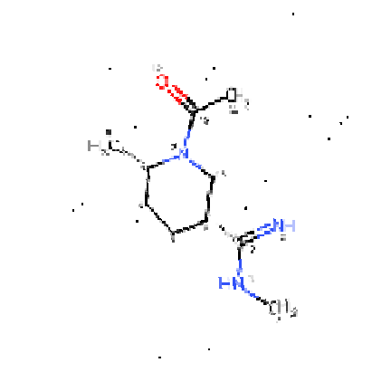 CNC(=N)[C@@H]1CC[C@H](C)N(C(C)=O)C1